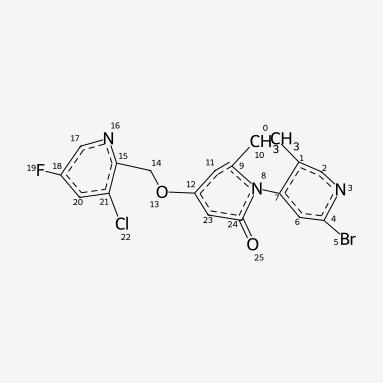 Cc1cnc(Br)cc1-n1c(C)cc(OCc2ncc(F)cc2Cl)cc1=O